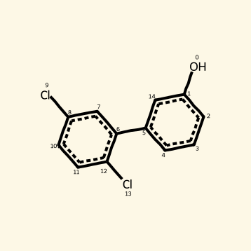 Oc1cccc(-c2cc(Cl)[c]cc2Cl)c1